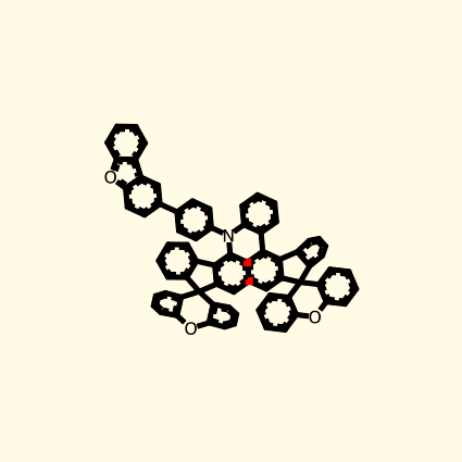 c1ccc2c(c1)Oc1ccccc1C21c2ccccc2-c2c(-c3ccccc3N(c3ccc(-c4ccc5oc6ccccc6c5c4)cc3)c3cccc4c3-c3ccccc3C43c4ccccc4Oc4ccccc43)cccc21